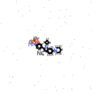 CC(C)S(=O)(=O)Nc1ccc(-c2c(C#N)c3ccc(N4CCCCC4)cc3n2C2CCC2)cc1